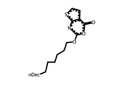 CCCCCCCCCCCCCCCCOc1nc2sccc2c(=O)o1